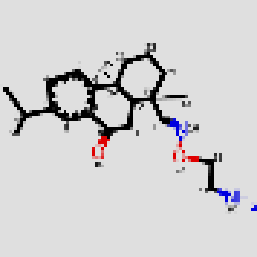 CC(C)c1ccc2c(c1)C(=O)CC1[C@@](C)(C=NOCCN)CCC[C@]21C